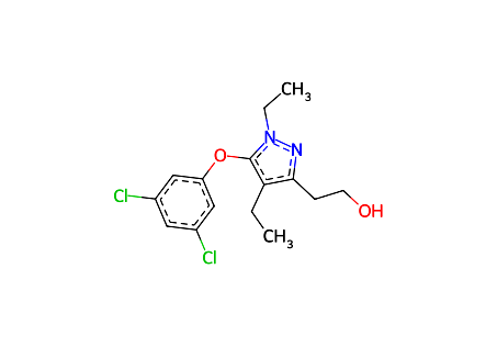 CCc1c(CCO)nn(CC)c1Oc1cc(Cl)cc(Cl)c1